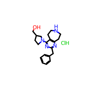 Cl.OCC1CCN(c2nc(Cc3ccccc3)nc3c2CCNCC3)C1